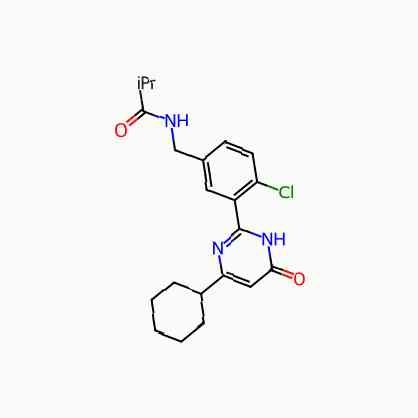 CC(C)C(=O)NCc1ccc(Cl)c(-c2nc(C3CCCCC3)cc(=O)[nH]2)c1